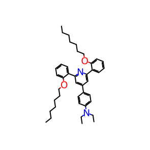 CCCCCCCOc1ccccc1-c1cc(-c2ccc(N(CC)CC)cc2)cc(-c2ccccc2OCCCCCCC)n1